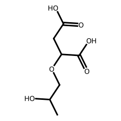 CC(O)COC(CC(=O)O)C(=O)O